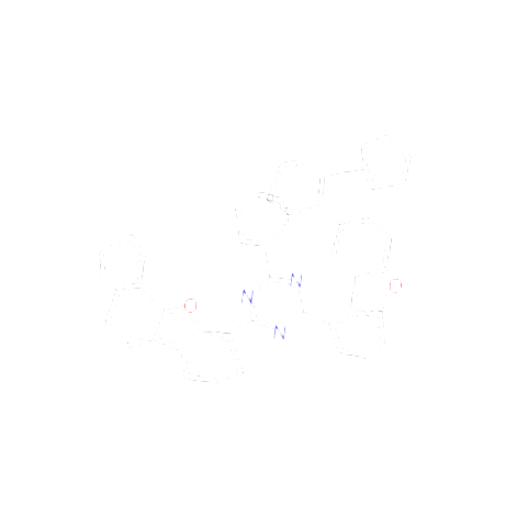 c1ccc(-c2nc(-c3cccc4c3oc3c5ccccc5ccc43)nc(-c3cccc4oc5ccc(-c6ccccc6-c6ccccc6)cc5c34)n2)cc1